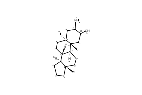 C[C@@]12CCC[C@H]1[C@@H]1CC[C@H]3CC(N)C(O)C[C@]3(C)[C@H]1CC2